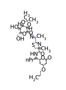 C=CCOc1cc([C@@H](CCC)NC(=O)[C@]2(C)CSC(/C(C)=N/O[C@H]3O[C@H](CO)[C@@H](O)[C@@H]4OC(C)(C)O[C@H]34)=N2)oc(=O)c1